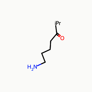 CC(C)C(=O)CCCCN